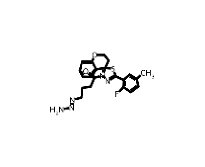 Cc1ccc(F)c(C2=NN(C(=O)CCCN=NN)C3(CCOc4ccccc43)S2)c1